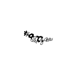 COc1cc(B2OC(C)(C)C(C)(C)O2)ccc1OCC1CCN(C(=O)OC(C)(C)C)CC1